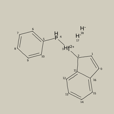 C1=C[CH]([Hf+2][PH]c2ccccc2)c2ccccc21.[H-].[H-]